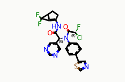 O=C(NC1=C2C(CC1)C2(F)F)[C@@H](c1cncnc1)N(C(=O)[C@H](F)Cl)c1ccc(-c2cncs2)cc1